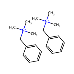 C[N+](C)(C)Cc1ccccc1.C[N+](C)(C)Cc1ccccc1